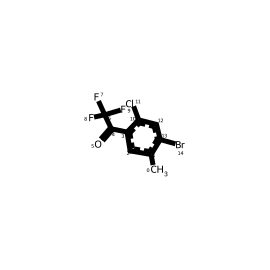 Cc1cc(C(=O)C(F)(F)F)c(Cl)cc1Br